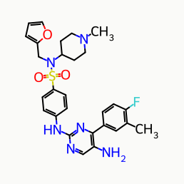 Cc1cc(-c2nc(Nc3ccc(S(=O)(=O)N(Cc4ccco4)C4CCN(C)CC4)cc3)ncc2N)ccc1F